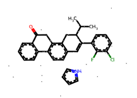 CC(C)C1Cc2c(ccc3c2CC(=O)c2ccccc2-3)C=C1c1cccc(Cl)c1F.c1cc[nH]c1